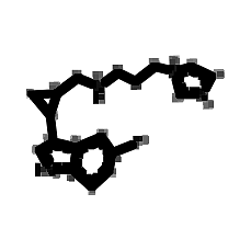 Fc1ccc2[nH]cc(C3CC3CNCCCn3ccnc3)c2c1